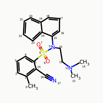 Cc1cccc(S(=O)(=O)N(CCN(C)C)c2cccc3ccccc23)c1C#N